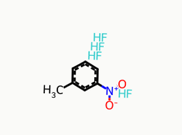 Cc1cccc([N+](=O)[O-])c1.F.F.F.F